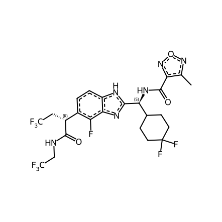 Cc1nonc1C(=O)N[C@H](c1nc2c(F)c([C@@H](CC(F)(F)F)C(=O)NCC(F)(F)F)ccc2[nH]1)C1CCC(F)(F)CC1